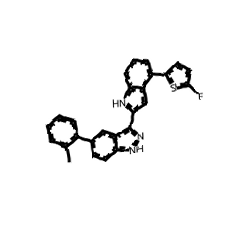 Cc1ccccc1-c1ccc2[nH]nc(-c3cc4c(-c5ccc(F)s5)cccc4[nH]3)c2c1